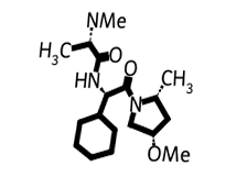 CN[C@@H](C)C(=O)N[C@H](C(=O)N1C[C@@H](OC)C[C@H]1C)C1CCCCC1